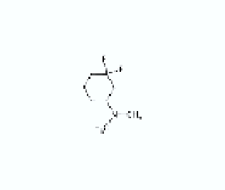 CN(C)C1CCCC(F)(F)C1